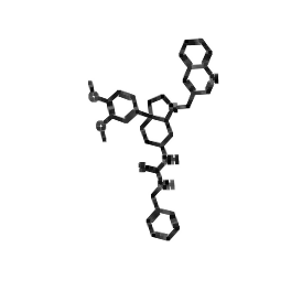 COc1ccc(C23CCC(NC(=S)NCc4ccccc4)CC2N(Cc2cnc4ccccc4c2)CC3)cc1OC